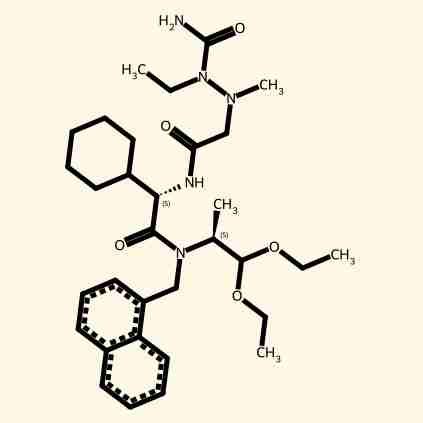 CCOC(OCC)[C@H](C)N(Cc1cccc2ccccc12)C(=O)[C@@H](NC(=O)CN(C)N(CC)C(N)=O)C1CCCCC1